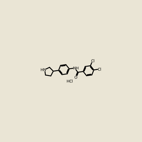 Cl.O=C(Nc1ccc(C2CCNC2)cc1)c1ccc(Cl)c(Cl)c1